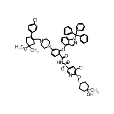 COC1(C)CCC(c2ccc(Cl)cc2)=C(CN2CCN(c3ccc(C(=O)NS(=O)(=O)c4cnc(OC[C@H]5CC[C@](C)(O)CC5)c(Cl)c4)c(Oc4cccc5c4cnn5C(c4ccccc4)(c4ccccc4)c4ccccc4)c3)CC2)C1